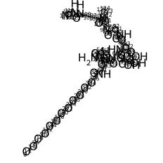 COCCOCCOCCOCCOCCOCCOCCOCCOCCOCCOCCOCCC(=O)NCCCC[C@H](NC(=O)[C@H](CN)N1C(=O)C=CC1=O)C(=O)NCCC(=O)Nc1cc(O[C@@H]2O[C@H](C(=O)O)[C@@H](O)[C@H](O)[C@H]2O)ccc1COC(=O)Nc1cccc(C(=O)N(C)CCON(C(=O)CCCCCCNC(=O)Nc2ccncc2)C2CCCCC2)c1